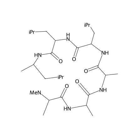 CNC(C)C(=O)NC(C)C(=O)NC(C)C(=O)NC(CC(C)C)C(=O)NC(CC(C)C)C(=O)NC(C)CC(C)C